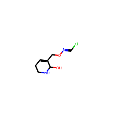 OC1NCCC=C1CON=CCl